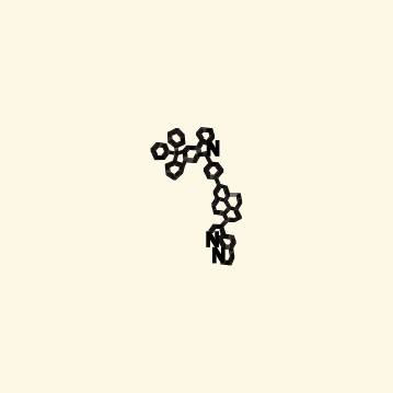 C1=CC2=CC=C(c3ccnc4c3ccc3cccnc34)C3=CC=C4C=C(c5ccc(-c6nc7ccccc7c7cc8c(cc67)-c6ccccc6C8(c6ccccc6)c6ccccc6)cc5)C=C1C4C23